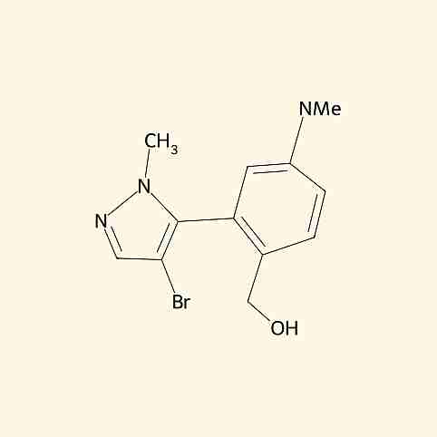 CNc1ccc(CO)c(-c2c(Br)cnn2C)c1